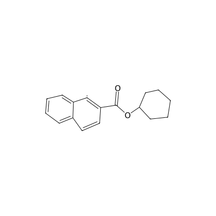 O=C(OC1CCCCC1)c1[c]c2ccccc2cc1